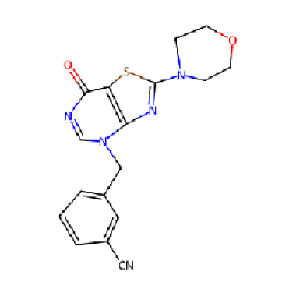 N#Cc1cccc(Cn2cnc(=O)c3sc(N4CCOCC4)nc32)c1